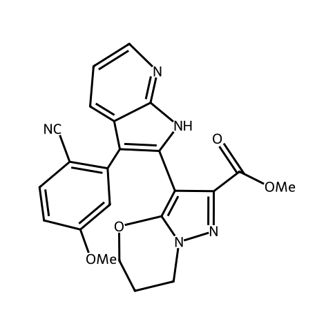 COC(=O)c1nn2c(c1-c1[nH]c3ncccc3c1-c1cc(OC)ccc1C#N)OCCC2